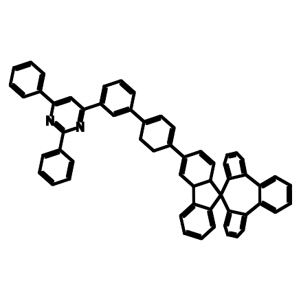 C1=CC2C(C=C1C1=CC=C(c3cccc(-c4cc(-c5ccccc5)nc(-c5ccccc5)n4)c3)CC1)c1ccccc1C21c2ccccc2-c2ccccc2-c2ccccc21